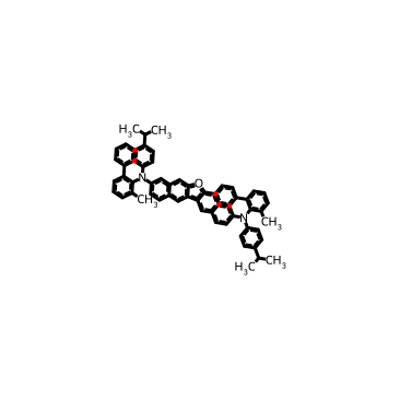 Cc1cccc(-c2ccccc2)c1N(c1ccc(C(C)C)cc1)c1ccc2cc3c(cc2c1)oc1cc2cc(N(c4ccc(C(C)C)cc4)c4c(C)cccc4-c4ccccc4)ccc2cc13